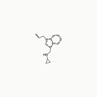 C=CCn1cc(CNC2CC2)c2ccccc21